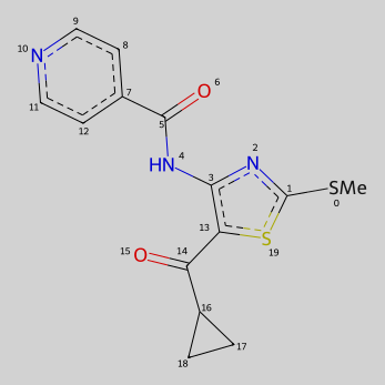 CSc1nc(NC(=O)c2ccncc2)c(C(=O)C2CC2)s1